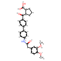 COc1ccc(CC(=O)Nc2ccc(-c3ccc(C(=O)C4CCCC4C(=O)O)cc3)cc2)cc1OC